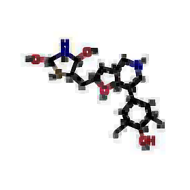 Cc1cc(-c2cncc3cc(C=C4SC(=O)NC4=O)oc23)cc(C)c1O